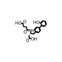 O=C(O)CCC(=O)N[C@@H](CC(=O)O)Cc1ccc(-c2ccccc2O)cc1